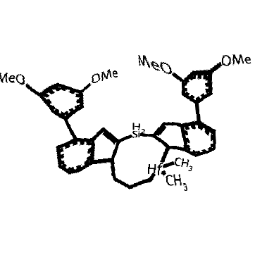 COc1cc(OC)cc(-c2cccc3c2C=C2[SiH2]C4=Cc5c(-c6cc(OC)cc(OC)c6)cccc5[CH]4[Hf]([CH3])([CH3])[CH2]CCC23)c1